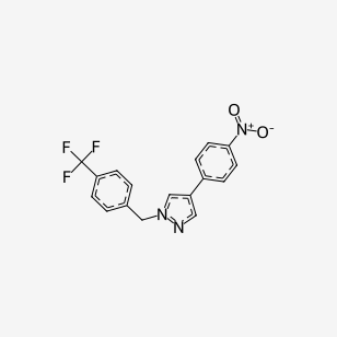 O=[N+]([O-])c1ccc(-c2cnn(Cc3ccc(C(F)(F)F)cc3)c2)cc1